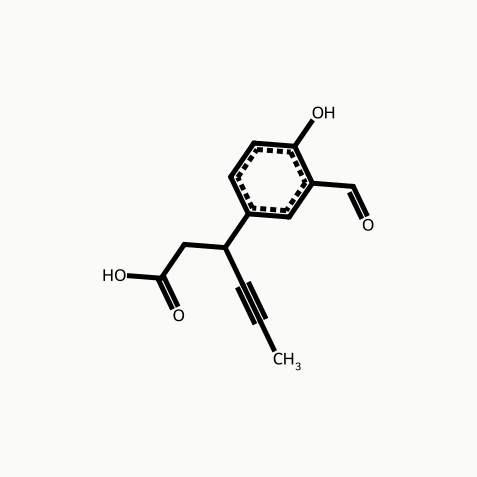 CC#CC(CC(=O)O)c1ccc(O)c(C=O)c1